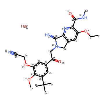 Br.CCOc1cc2c(nc1C(=O)NC)C(=N)N(CC(=O)c1cc(OCC#N)c(OC)c(C(C)(C)C)c1)C2